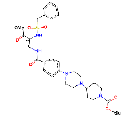 COC(=O)[C@H](CNC(=O)c1ccc(N2CCN(C3CCN(C(=O)OC(C)(C)C)CC3)CC2)cc1)NS(=O)(=O)Cc1ccccc1